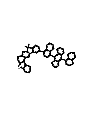 CC1(C)c2ccc(-c3ccc(-c4c5ccccc5c(-c5cccc6ccccc56)c5ccccc45)c4ccccc34)cc2-c2cc3c(ccc4sc5ccccc5c43)cc21